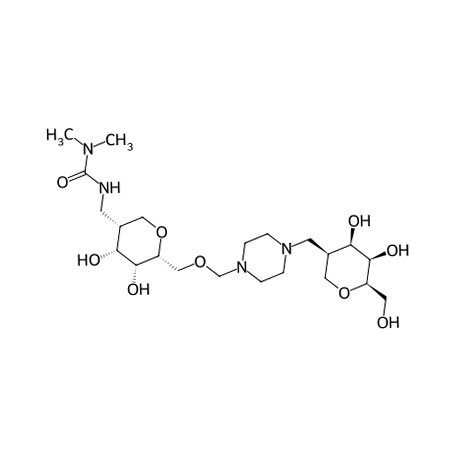 CN(C)C(=O)NC[C@@H]1CO[C@H](COCN2CCN(C[C@@H]3CO[C@H](CO)[C@H](O)[C@@H]3O)CC2)[C@H](O)[C@@H]1O